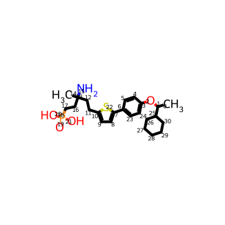 CC(Oc1ccc(-c2ccc(CCC(C)(N)CCP(=O)(O)O)s2)cc1)C1CCCCC1